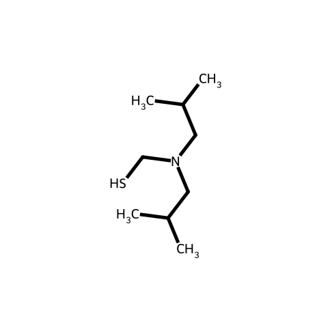 CC(C)CN(CS)CC(C)C